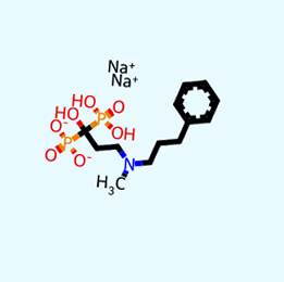 CN(CCCc1ccccc1)CCC(O)(P(=O)([O-])[O-])P(=O)(O)O.[Na+].[Na+]